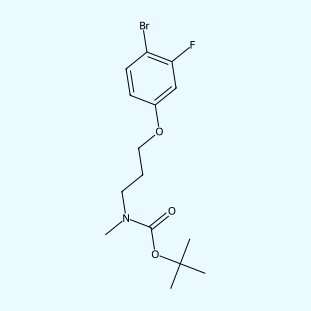 CN(CCCOc1ccc(Br)c(F)c1)C(=O)OC(C)(C)C